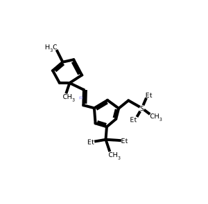 CCC(C)(CC)c1cc(/C=C/C2(C)C=CC(C)=CC2)cc(CS(C)(CC)CC)c1